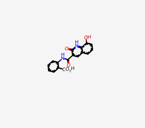 O=C(O)c1ccccc1NC(=O)c1cc2cccc(O)c2[nH]c1=O